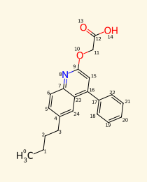 CCCCc1ccc2nc(OCC(=O)O)cc(-c3ccccc3)c2c1